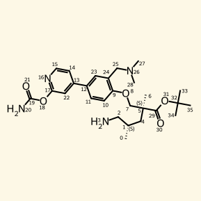 C[C@H](CN)C[C@@](C)(COc1ccc(-c2ccnc(OC(N)=O)c2)cc1CN(C)C)C(=O)OC(C)(C)C